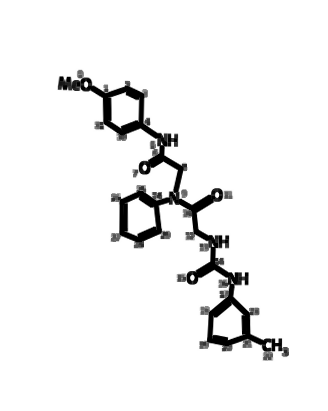 COc1ccc(NC(=O)CN(C(=O)CNC(=O)Nc2cccc(C)c2)c2ccccc2)cc1